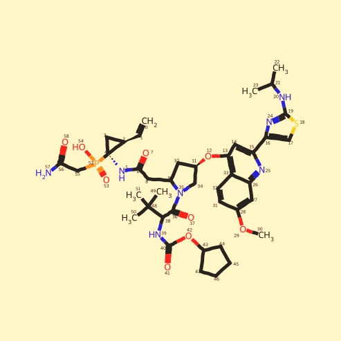 C=C[C@@H]1C[C@]1(NC(=O)CC1C[C@@H](Oc2cc(-c3csc(NC(C)C)n3)nc3cc(OC)ccc23)CN1C(=O)C(NC(=O)OC1CCCC1)C(C)(C)C)P(=O)(O)CC(N)=O